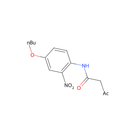 CCCCOc1ccc(NC(=O)CC(C)=O)c([N+](=O)[O-])c1